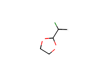 CCC(Br)C1OCCO1